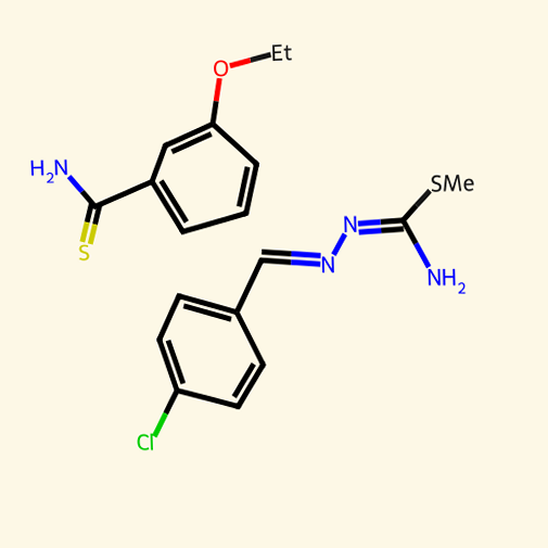 CCOc1cccc(C(N)=S)c1.CS/C(N)=N/N=C/c1ccc(Cl)cc1